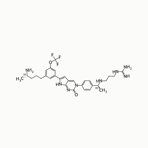 C[C@H](N)CCCc1cc(OC(F)(F)F)cc(-c2cc3cn(-c4ccc([C@H](C)NCCCNC(=N)N)cc4)c(=O)nc3[nH]2)c1